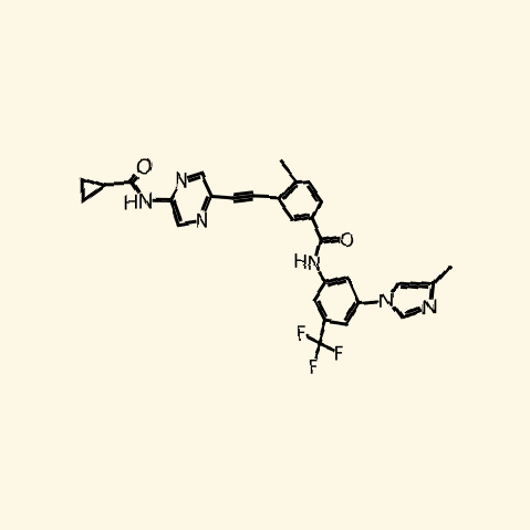 Cc1cn(-c2cc(NC(=O)c3ccc(C)c(C#Cc4cnc(NC(=O)C5CC5)cn4)c3)cc(C(F)(F)F)c2)cn1